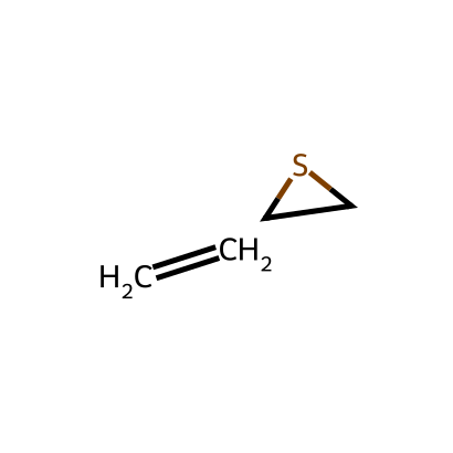 C1CS1.C=C